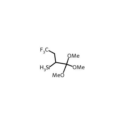 COC(OC)(OC)C([SiH3])CC(F)(F)F